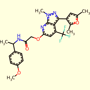 COc1ccc(C(C)NC(=O)COc2cc(C(F)(F)F)c3c(-c4cc(C)oc4C)nn(C)c3n2)cc1